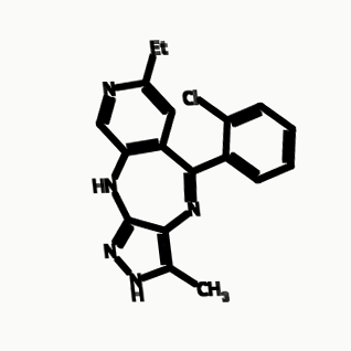 CCc1cc2c(cn1)Nc1n[nH]c(C)c1N=C2c1ccccc1Cl